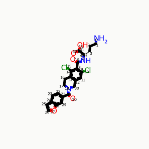 NCCC[C@H](NC(=O)c1c(Cl)cc2c(c1Cl)CCN(C(=O)c1ccc3ccoc3c1)C2)C(=O)O